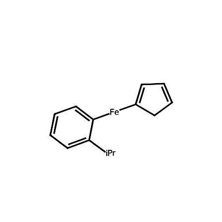 CC(C)c1cccc[c]1[Fe][C]1=CC=CC1